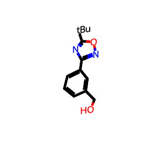 CC(C)(C)c1nc(-c2cccc(CO)c2)no1